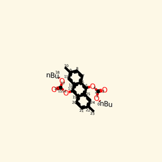 CCCCOC(=O)Oc1c2ccc(C)cc2c(OC(=O)OCCCC)c2ccc(C)cc12